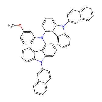 COc1cccc(N(c2cccc3c2c2ccccc2n3-c2ccc3ccccc3c2)c2cccc3c2c2ccccc2n3-c2ccc3ccccc3c2)c1